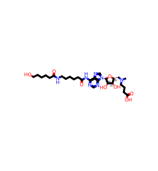 CN(CCCC(=O)O)C[C@H]1O[C@@H](n2cnc3c(NC(=O)CCCCCNC(=O)CCCCCO)ncnc32)[C@H](O)[C@@H]1O